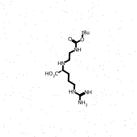 CC(C)(C)OC(=O)NCCN[C@@H](CCCNC(=N)N)C(=O)O